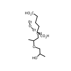 CC(O)COC(C)CO.CCOCC.O=C(O)CCCCC(=O)O